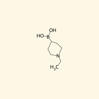 CCN1CCC(B(O)O)CC1